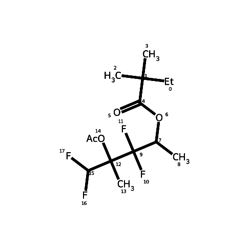 CCC(C)(C)C(=O)OC(C)C(F)(F)C(C)(OC(C)=O)C(F)F